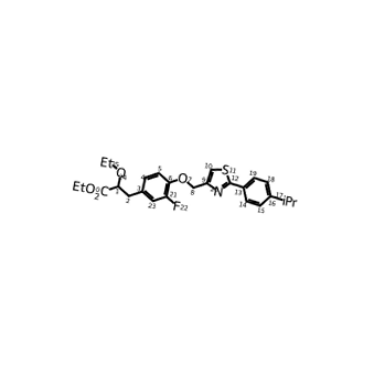 CCOC(=O)C(Cc1ccc(OCc2csc(-c3ccc(C(C)C)cc3)n2)c(F)c1)OCC